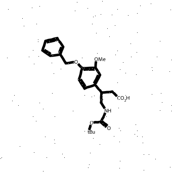 COc1cc(C(CNC(=O)OC(C)(C)C)CC(=O)O)ccc1OCc1ccccc1